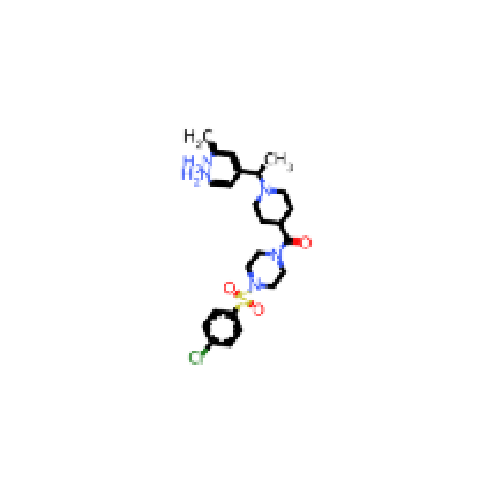 C=C(N)/C=C(\C=C/N)C(C)N1CCC(C(=O)N2CCN(S(=O)(=O)c3ccc(Cl)cc3)CC2)CC1